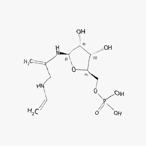 C=CNCC(=C)N[C@@H]1O[C@H](COP(=O)(O)O)[C@@H](O)[C@H]1O